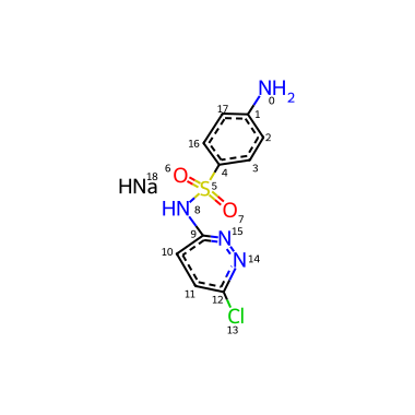 Nc1ccc(S(=O)(=O)Nc2ccc(Cl)nn2)cc1.[NaH]